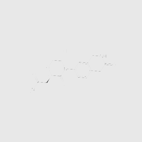 Cl.NC(=O)C[C@H]1OCCN(c2ccc3c(c2)CNC(=O)C3)C1=O